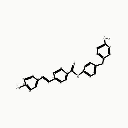 COc1ccc(Cc2ccc(OC(=O)c3ccc(C=Cc4ccc(C(C)=O)cc4)cc3)cc2)cc1